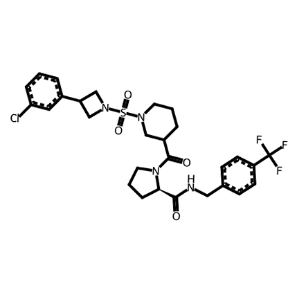 O=C(NCc1ccc(C(F)(F)F)cc1)[C@H]1CCCN1C(=O)C1CCCN(S(=O)(=O)N2CC(c3cccc(Cl)c3)C2)C1